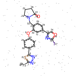 CC(C)c1nnc(-c2ccc(Oc3cc(-c4coc(I)n4)ccc3CN3CCCC3=O)cc2)s1